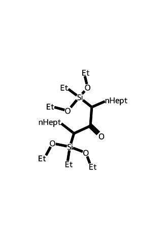 CCCCCCCC(C(=O)C(CCCCCCC)[Si](CC)(OCC)OCC)[Si](CC)(OCC)OCC